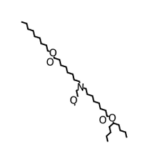 CCCCCCCCCOC(=O)CCCCCCCN(CCCCCCCC(=O)OC(CCCC)CCCC)CCOC